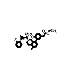 CCOC(=O)Cc1ccc(OC)c(-c2ccc(F)c3c2CN(C(=O)[C@@H]2C[C@H]2c2ccccc2F)CC3)c1